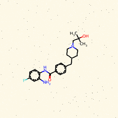 CC(C)(O)CN1CCC(Cc2ccc(C(=O)Nc3ccc(F)cc3N)cc2)CC1